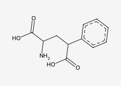 NC(CC(C(=O)O)c1ccccc1)C(=O)O